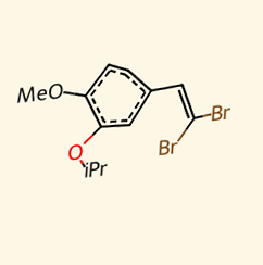 COc1ccc(C=C(Br)Br)cc1OC(C)C